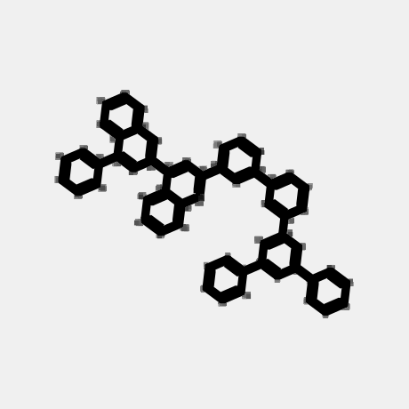 c1ccc(-c2cc(-c3ccccc3)cc(-c3cccc(-c4cccc(-c5cc(-c6cc(-c7ccccc7)c7ccccc7c6)c6ccccc6n5)c4)c3)c2)cc1